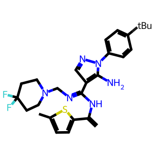 C=C(N/C(=N/CN1CCC(F)(F)CC1)c1cnn(-c2ccc(C(C)(C)C)cc2)c1N)c1ccc(C)s1